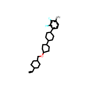 C=CC1CCC(COC2CCC(C3CCC(c4ccc(CCC)c(F)c4F)CC3)CC2)CC1